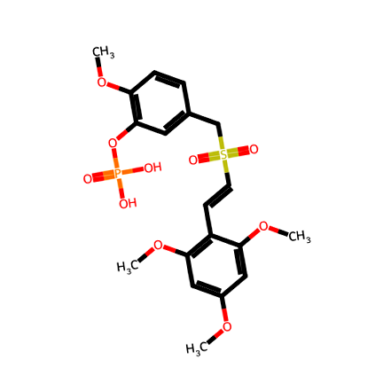 COc1cc(OC)c(C=CS(=O)(=O)Cc2ccc(OC)c(OP(=O)(O)O)c2)c(OC)c1